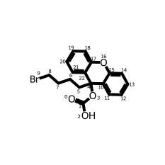 O=C(O)OC1(CCCCBr)c2ccccc2Oc2ccccc21